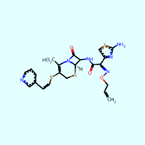 C=CCO/N=C(\C(=O)NC1C(=O)N2C(C(=O)O)=C(S/C=C\c3cccnc3)CS[C@H]12)c1csc(N)n1